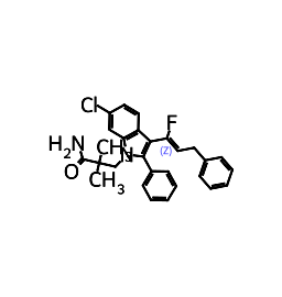 CC(C)(Cn1c(-c2ccccc2)c(/C(F)=C/Cc2ccccc2)c2ccc(Cl)cc21)C(N)=O